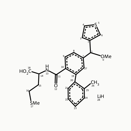 COC(c1ccsc1)c1ccc(C(=O)NC(CCSC)C(=O)O)c(-c2ccccc2C)c1.[LiH]